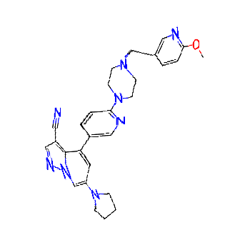 COc1ccc(CN2CCN(c3ccc(-c4cc(N5CCCC5)cn5ncc(C#N)c45)cn3)CC2)cn1